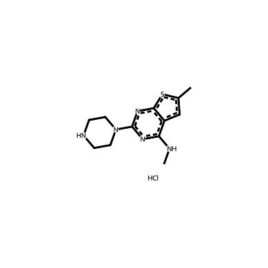 CNc1nc(N2CCNCC2)nc2sc(C)cc12.Cl